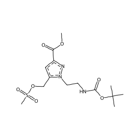 COC(=O)c1cc(COS(C)(=O)=O)n(CCNC(=O)OC(C)(C)C)n1